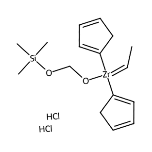 C[CH]=[Zr]([O]CO[Si](C)(C)C)([C]1=CC=CC1)[C]1=CC=CC1.Cl.Cl